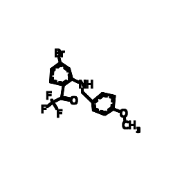 COc1ccc(CNc2cc(Br)ccc2C(=O)C(F)(F)F)cc1